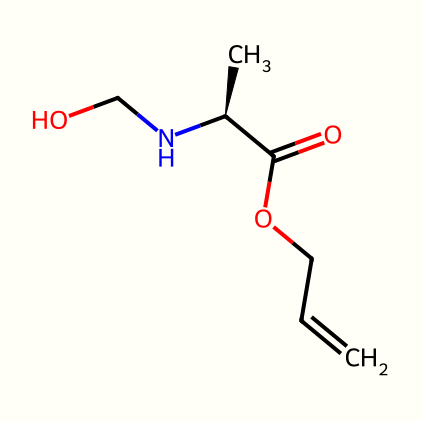 C=CCOC(=O)[C@H](C)NCO